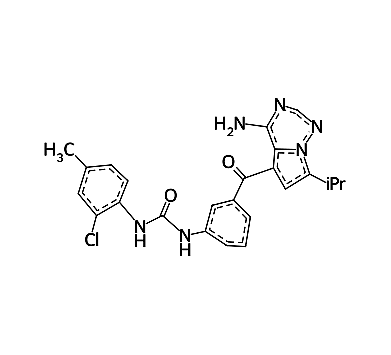 Cc1ccc(NC(=O)Nc2cccc(C(=O)c3cc(C(C)C)n4ncnc(N)c34)c2)c(Cl)c1